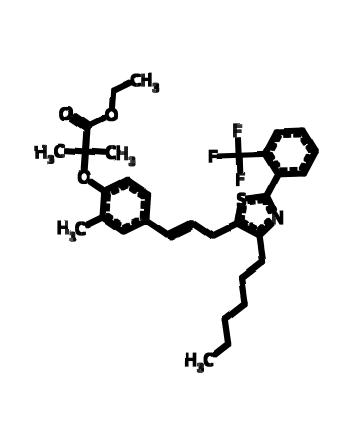 CCCCCCc1nc(-c2ccccc2C(F)(F)F)sc1CC=Cc1ccc(OC(C)(C)C(=O)OCC)c(C)c1